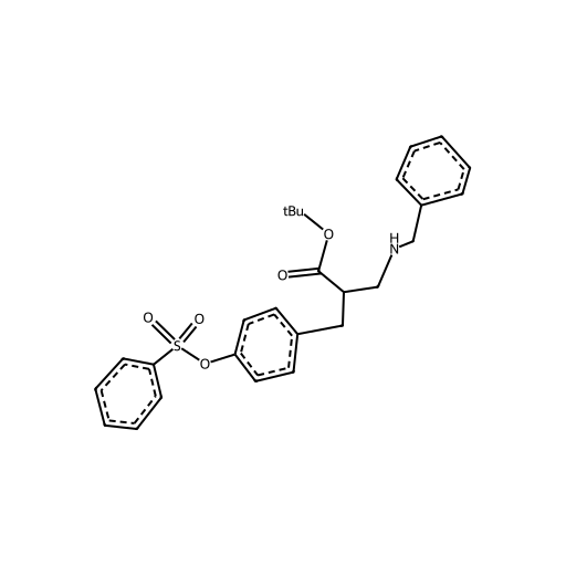 CC(C)(C)OC(=O)C(CNCc1ccccc1)Cc1ccc(OS(=O)(=O)c2ccccc2)cc1